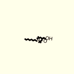 CCCCCCCCN1C(C)(C)CC(=CC(=O)O)CC1(C)C